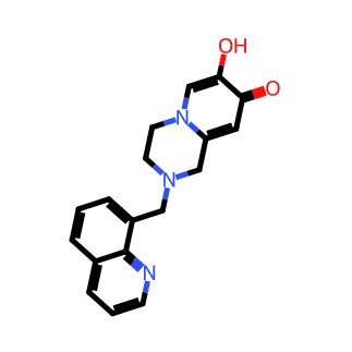 O=c1cc2n(cc1O)CCN(Cc1cccc3cccnc13)C2